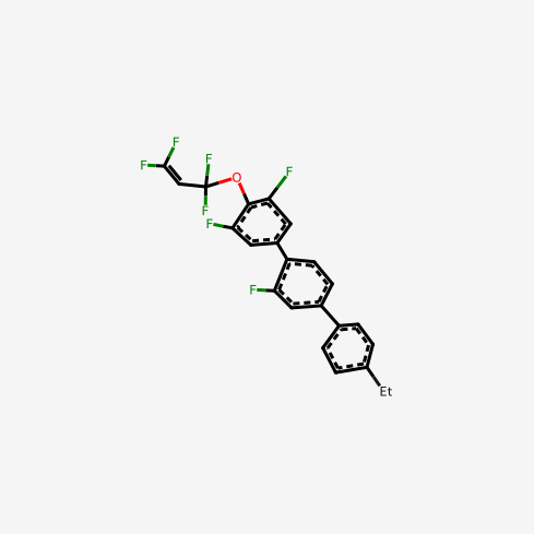 CCc1ccc(-c2ccc(-c3cc(F)c(OC(F)(F)C=C(F)F)c(F)c3)c(F)c2)cc1